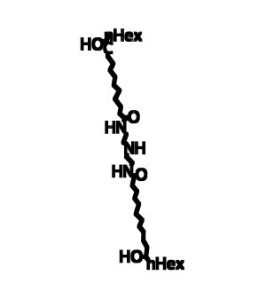 CCCCCCC(O)CCCCCCCCCCC(=O)NCCNCCNC(=O)CCCCCCCCCCC(O)CCCCCC